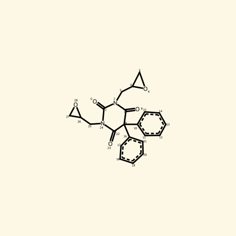 O=C1N(CC2CO2)C(=O)C(c2ccccc2)(c2ccccc2)C(=O)N1CC1CO1